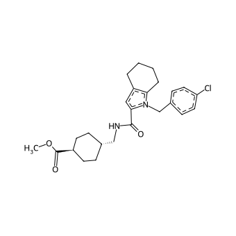 COC(=O)[C@H]1CC[C@H](CNC(=O)c2cc3c(n2Cc2ccc(Cl)cc2)CCCC3)CC1